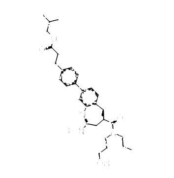 CCCN(CCCO)C(=O)C1=Cc2ccc(-c3ccc(CCC(=O)OCC(C)C)cc3)cc2N=C(N)C1